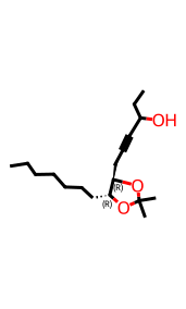 CCCCCCC[C@H]1OC(C)(C)O[C@@H]1CC#CC(O)CC